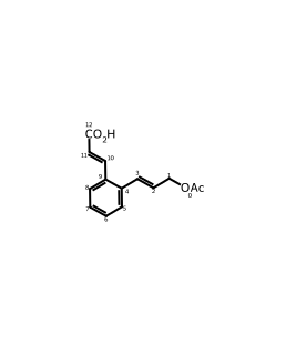 CC(=O)OCC=Cc1ccccc1C=CC(=O)O